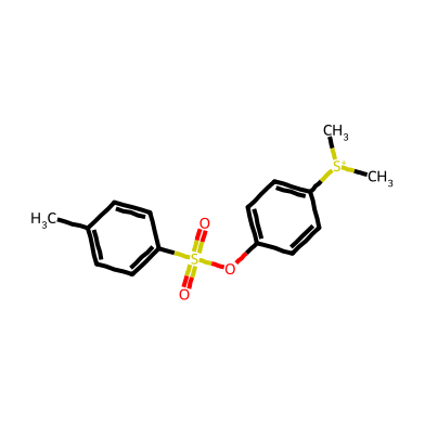 Cc1ccc(S(=O)(=O)Oc2ccc([S+](C)C)cc2)cc1